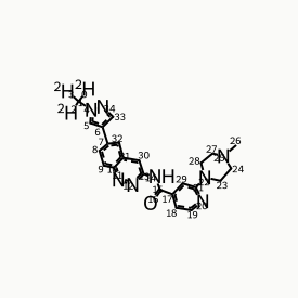 [2H]C([2H])([2H])n1cc(-c2ccc3nnc(NC(=O)c4ccnc(N5CCN(C)CC5)c4)cc3c2)cn1